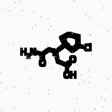 NC(=O)CN(CC(=O)O)c1cccc(Cl)c1